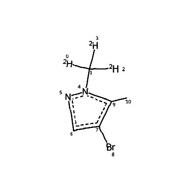 [2H]C([2H])([2H])n1ncc(Br)c1C